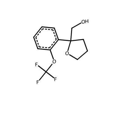 OCC1(c2ccccc2OC(F)(F)F)CCCO1